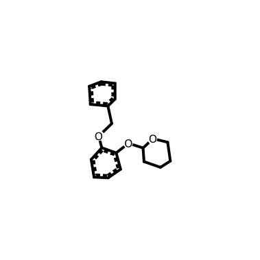 c1ccc(COc2ccccc2OC2CCCCO2)cc1